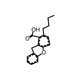 CCCCc1ccc2c(c1C(=O)O)Cc1ccccc1O2